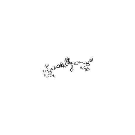 C=C(CCC(F)F)C1=C(CN2CCN(c3ccc(C(=O)NS(=O)(=O)c4ccc(N[C@H](CCN5CCN(CCCCOc6cc(-c7scnc7C)ccc6CNC=O)CC5)CSc5ccccc5)c(S(=O)(=O)C(F)(F)F)c4)cc3)CC2)CCC(C)(C)C1